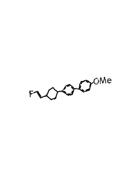 COc1ccc(-c2ccc(C3CCC(C=CF)CC3)cc2)cc1